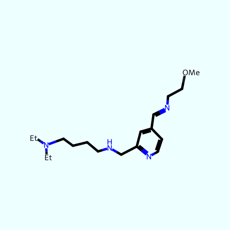 CCN(CC)CCCCNCc1cc(C=NCCOC)ccn1